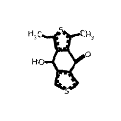 Cc1sc(C)c2c1C(=O)c1cscc1C2O